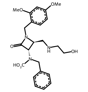 COc1ccc(CN2C(=O)[C@@H](N(Cc3ccccc3)C(=O)O)[C@@H]2CNCCO)c(OC)c1